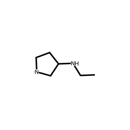 CCNC1CC[N]C1